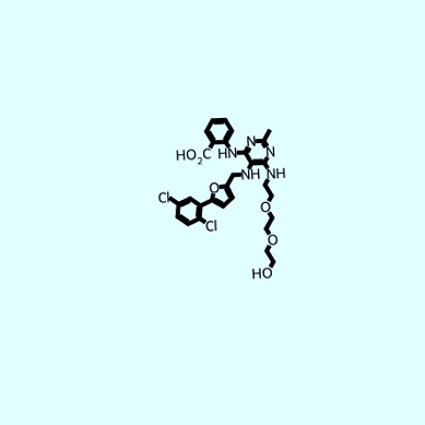 Cc1nc(NCCOCCOCCO)c(NCc2ccc(-c3cc(Cl)ccc3Cl)o2)c(Nc2ccccc2C(=O)O)n1